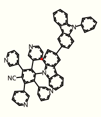 N#Cc1c(-c2cccnc2)c(-c2cccnc2)c(-n2c3ccccc3c3cc(-c4ccc5c(c4)c4ccccc4n5-c4ccccc4)ccc32)c(-c2cccnc2)c1-c1cccnc1